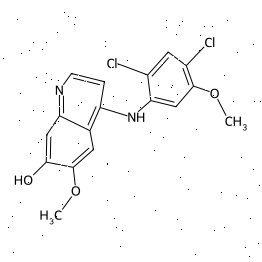 COc1cc2c(Nc3cc(OC)c(Cl)cc3Cl)ccnc2cc1O